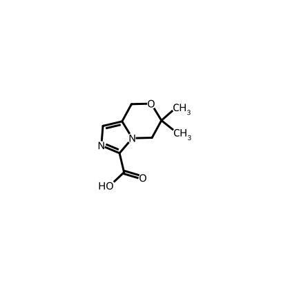 CC1(C)Cn2c(cnc2C(=O)O)CO1